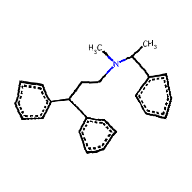 CC(c1ccccc1)N(C)CCC(c1ccccc1)c1ccccc1